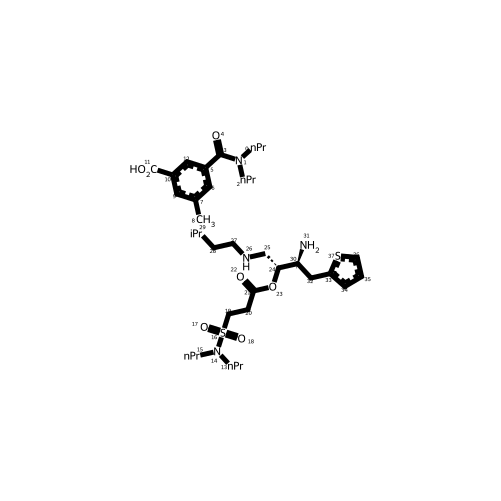 CCCN(CCC)C(=O)c1cc(C)cc(C(=O)O)c1.CCCN(CCC)S(=O)(=O)CCC(=O)O[C@H](CNCCC(C)C)[C@@H](N)Cc1cccs1